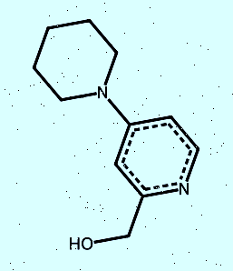 OCc1cc(N2CCCCC2)ccn1